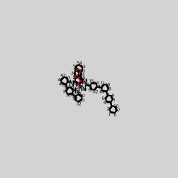 c1ccc(-c2ccc(-c3cccc(-c4ccc(-c5nc(-c6ccccc6)nc(-n6c7ccccc7c7ccc8c9ccccc9n(-c9cccc(-c%10ccccc%10)c9)c8c76)n5)cc4)c3)cc2)cc1